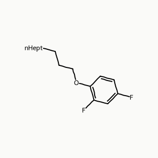 CCCCCCCCCCOc1ccc(F)cc1F